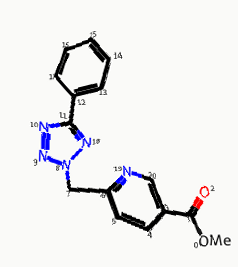 COC(=O)c1ccc(Cn2nnc(-c3ccccc3)n2)nc1